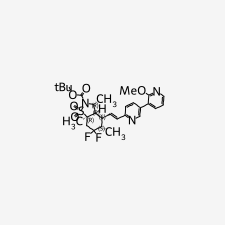 COc1ncccc1-c1ccc(C=C[C@@H]2[C@@H]3[C@@H](C)N(C(=O)OC(C)(C)C)S(=O)(=O)[C@]3(C)CC(F)(F)[C@H]2C)nc1